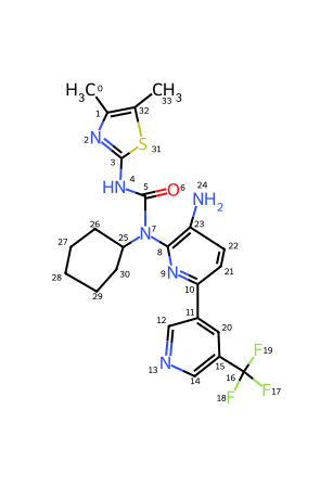 Cc1nc(NC(=O)N(c2nc(-c3cncc(C(F)(F)F)c3)ccc2N)C2CCCCC2)sc1C